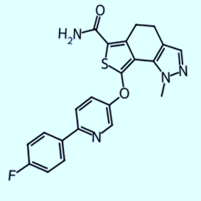 Cn1ncc2c1-c1c(Oc3ccc(-c4ccc(F)cc4)nc3)sc(C(N)=O)c1CC2